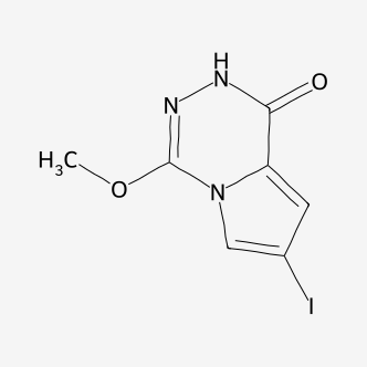 COc1n[nH]c(=O)c2cc(I)cn12